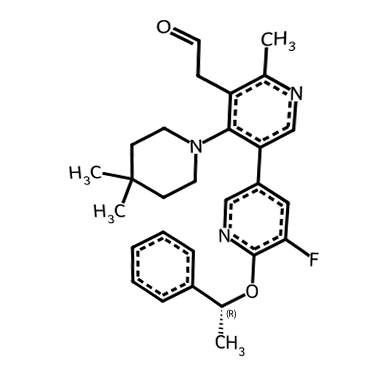 Cc1ncc(-c2cnc(O[C@H](C)c3ccccc3)c(F)c2)c(N2CCC(C)(C)CC2)c1CC=O